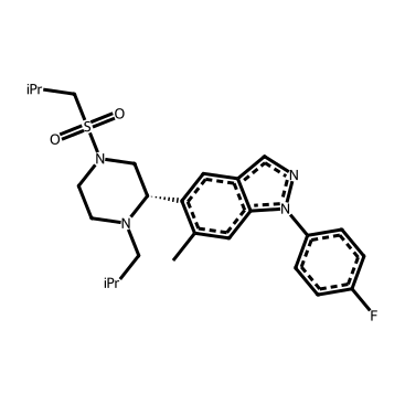 Cc1cc2c(cnn2-c2ccc(F)cc2)cc1[C@H]1CN(S(=O)(=O)CC(C)C)CCN1CC(C)C